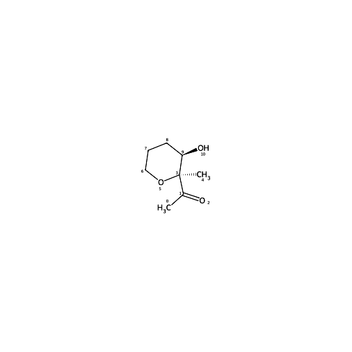 CC(=O)[C@@]1(C)OCCC[C@H]1O